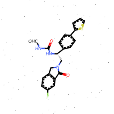 O=CNC(=O)N[C@@H](CN1Cc2ccc(F)cc2C1=O)c1ccc(-c2cccs2)cc1